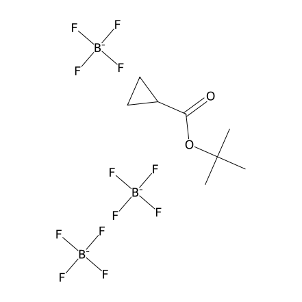 CC(C)(C)OC(=O)C1CC1.F[B-](F)(F)F.F[B-](F)(F)F.F[B-](F)(F)F